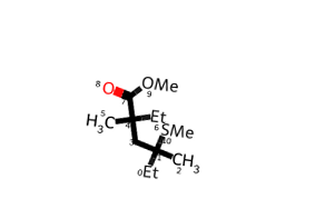 CCC(C)(CC(C)(CC)C(=O)OC)SC